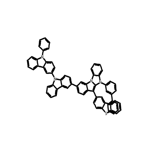 c1ccc(-c2cccc(-n3c4ccccc4n4c5cc(-c6ccc7c(c6)c6ccccc6n7-c6ccc7c(c6)c6ccccc6n7-c6ccccc6)ccc5c(-c5ccc6sc7ccccc7c6c5)c34)c2)cc1